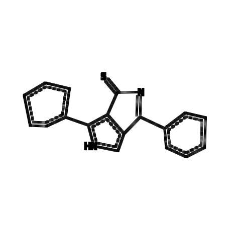 S=C1N=C(c2ccccc2)c2c[nH]c(-c3ccccc3)c21